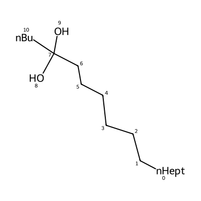 CCCCCCCCCCCCCC(O)(O)CCCC